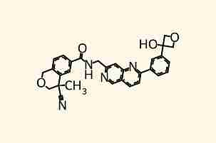 C[C@@]1(C#N)COCc2ccc(C(=O)NCc3cc4nc(-c5cccc(C6(O)COC6)c5)ccc4cn3)cc21